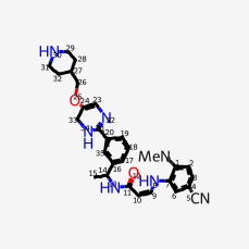 CNc1ccc(C#N)cc1N/C=C\C(=O)NC(C)c1cccc(C2=NC=C(OCC3CCNCC3)CN2)c1